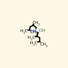 C=C(CNCC(=C)CC(C)C)CC(C)C.Cl